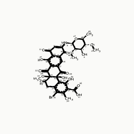 CO[C@@H]1[C@@H](O)[C@@H](OC)[C@@H](NC2=CC(=O)c3c(cc4c(c3O)C(=O)C3(OC)C(O)Cc5c(Br)c(C)c(C(=O)O)c(O)c5C3(O)C4=O)C2=O)O[C@H]1C